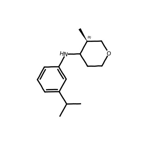 CC(C)c1cccc(NC2CCOC[C@@H]2C)c1